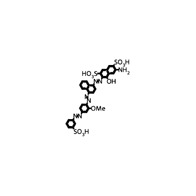 COc1cc(N=Nc2cccc(S(=O)(=O)O)c2)ccc1N=Nc1ccc(N=Nc2c(S(=O)(=O)O)cc3cc(S(=O)(=O)O)c(N)cc3c2O)c2ccccc12